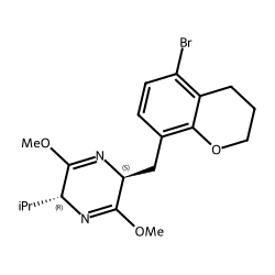 COC1=N[C@H](C(C)C)C(OC)=N[C@H]1Cc1ccc(Br)c2c1OCCC2